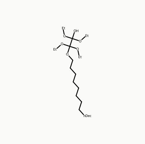 CCCCCCCCCCCCCCCCCCOC(OCC)(OCC)C(O)(OCC)OCC